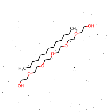 CCCCCCCCCCCCC.OCCOCCOCCOCCOCCOCCO